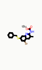 Cc1cc2c(Br)cc(SCc3ccccc3)cc2nc1NC(=O)OC(C)(C)C